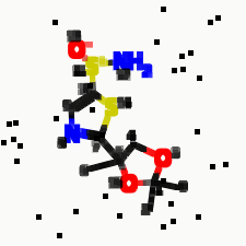 CC1(C)OCC(C)(c2ncc([S+](N)[O-])s2)O1